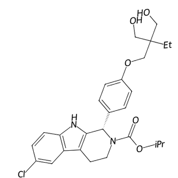 CCC(CO)(CO)COc1ccc([C@H]2c3[nH]c4ccc(Cl)cc4c3CCN2C(=O)OC(C)C)cc1